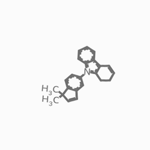 CC1(C)C=Cc2cc(-n3c4c(c5ccccc53)C=CCC4)ccc21